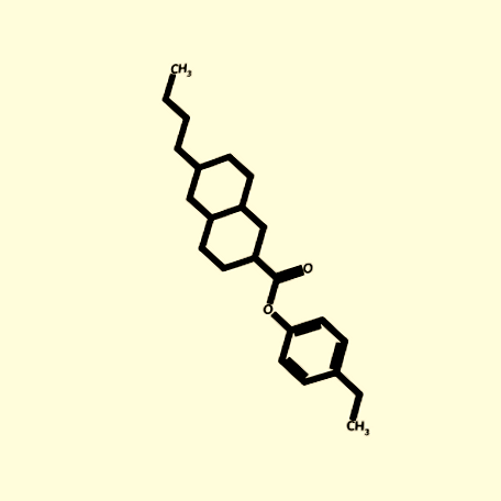 CCCCC1CCC2CC(C(=O)Oc3ccc(CC)cc3)CCC2C1